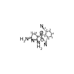 N#Cc1cccc(C#N)c1S(=O)(=O)c1ccc(N)nc1N